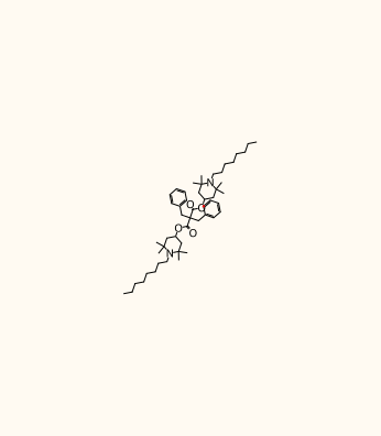 CCCCCCCCN1C(C)(C)CC(OC(=O)C(Cc2ccccc2)(Cc2ccccc2)C(=O)OC2CC(C)(C)N(CCCCCCCC)C(C)(C)C2)CC1(C)C